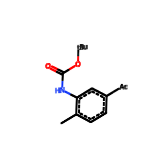 CC(=O)c1ccc(C)c(NC(=O)OC(C)(C)C)c1